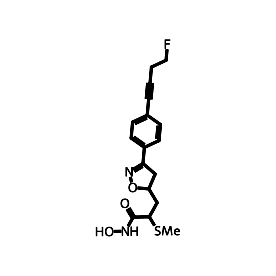 CSC(CC1CC(c2ccc(C#CCCF)cc2)=NO1)C(=O)NO